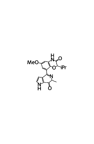 COc1cc2c(c(C3=NC(C)C(=O)c4[nH]ccc43)c1)OC(C(C)C)C(=O)N2